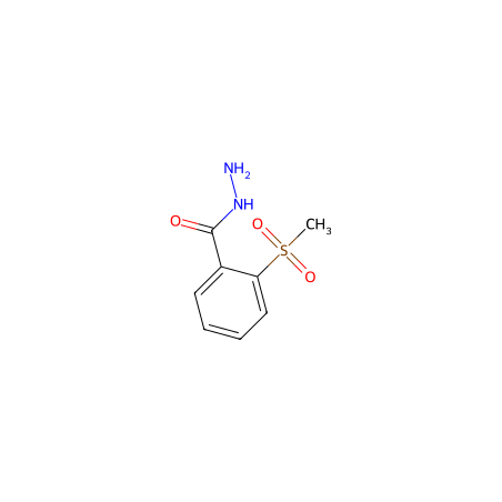 CS(=O)(=O)c1ccccc1C(=O)NN